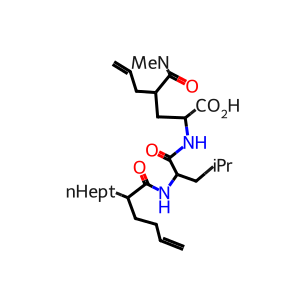 C=CCCC(CCCCCCC)C(=O)NC(CC(C)C)C(=O)NC(CC(CC=C)C(=O)NC)C(=O)O